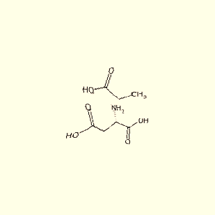 CCC(=O)O.N[C@@H](CC(=O)O)C(=O)O